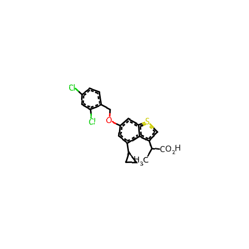 CC(C(=O)O)c1csc2cc(OCc3ccc(Cl)cc3Cl)cc(C3CC3)c12